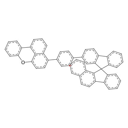 c1ccc2c(c1)Oc1ccc(-c3ccc(-c4ccc5c(c4)C4(c6ccccc6-5)c5ccccc5-c5ccc6ccccc6c54)cc3)c3cccc-2c13